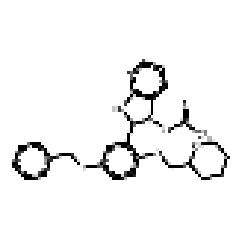 O=C(ON1c2cccnc2NC1c1cc(OCc2ccccc2)ccc1OCC1CCCCO1)C(F)(F)F